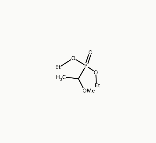 CCOP(=O)(OCC)C(C)OC